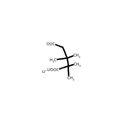 CC(C)(CC(=O)[O-])C(C)(C)C(=O)[O-].[Li+].[Li+]